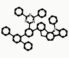 c1ccc(-c2ccc(-c3ccccc3)c(-c3ccc(-c4cccc5c4Cc4ccc6c7ccccc7n(-c7ccccc7)c6c4-5)c(-c4nc(-c5ccccc5)nc(-c5ccccc5)n4)c3)c2)cc1